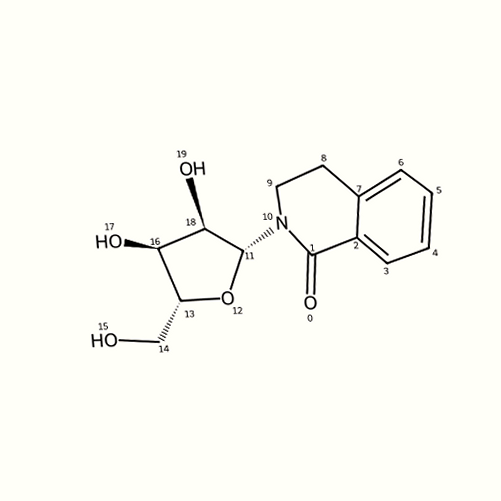 O=C1c2ccccc2CCN1[C@@H]1O[C@H](CO)[C@@H](O)[C@H]1O